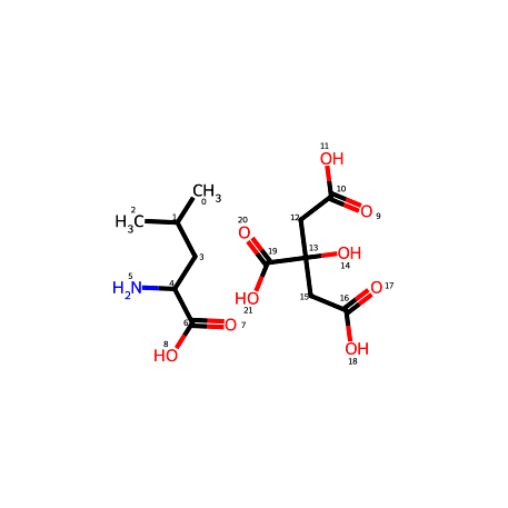 CC(C)CC(N)C(=O)O.O=C(O)CC(O)(CC(=O)O)C(=O)O